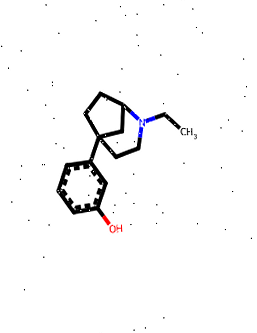 CCN1CCC2(c3cccc(O)c3)CCC1C2